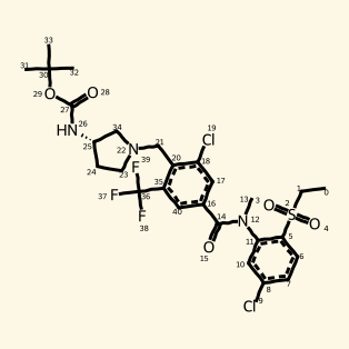 CCS(=O)(=O)c1ccc(Cl)cc1N(C)C(=O)c1cc(Cl)c(CN2CC[C@H](NC(=O)OC(C)(C)C)C2)c(C(F)(F)F)c1